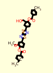 COc1cc(-c2nc3sc(-c4ccc(OC(=O)c5ccc(C)cc5)c(CO)c4)nc3s2)ccc1OC(=O)c1ccc(C)cc1